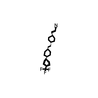 N#CC=C[C@H]1CC[C@H](CC[C@H]2CC[C@H](c3ccc(C(F)(F)F)cc3)CC2)CC1